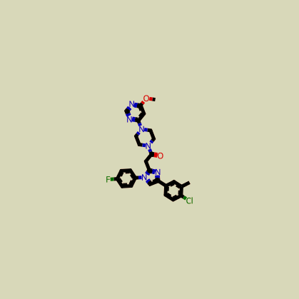 COc1cc(N2CCN(C(=O)Cc3nc(-c4ccc(Cl)c(C)c4)cn3-c3ccc(F)cc3)CC2)ncn1